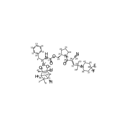 CC1(C)[C@@H]2C[C@H]3OB(C(Cc4ccccc4)NC(=O)OC[C@H]4CCCN4C(=O)C(C#N)=CC(C)(C)N4CCC(F)(F)CC4)O[C@@]3(C)[C@H]1C2